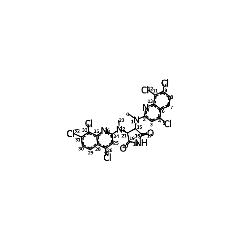 CN(c1cc(Cl)c2ccc(Cl)c(Cl)c2n1)C1C(=O)NC(=O)C1N(C)c1cc(Cl)c2ccc(Cl)c(Cl)c2n1